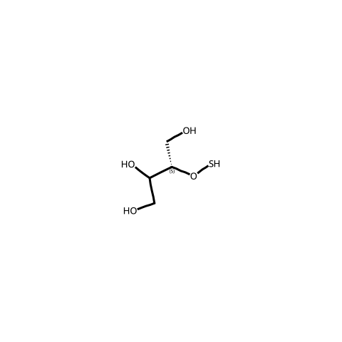 OCC(O)[C@H](CO)OS